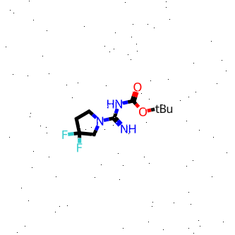 CC(C)(C)OC(=O)NC(=N)N1CCC(F)(F)C1